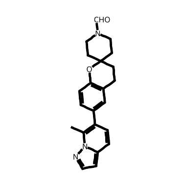 Cc1c(-c2ccc3c(c2)CCC2(CCN(C=O)CC2)O3)ccc2ccnn12